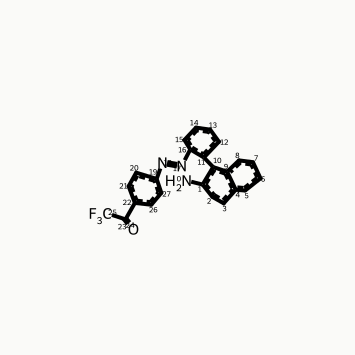 Nc1ccc2ccccc2c1-c1ccccc1/N=N/c1ccc(C(=O)C(F)(F)F)cc1